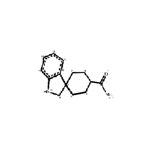 NC(=O)C1CCC2(CC1)CNc1ccccc12